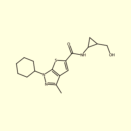 Cc1nn(C2CCCCC2)c2sc(C(=O)NC3CC3CO)cc12